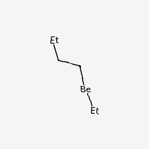 C[CH2][Be][CH2]CCC